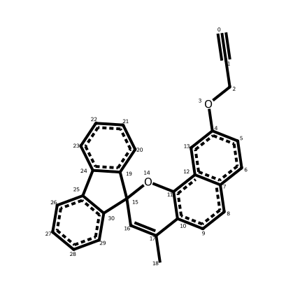 C#CCOc1ccc2ccc3c(c2c1)OC1(C=C3C)c2ccccc2-c2ccccc21